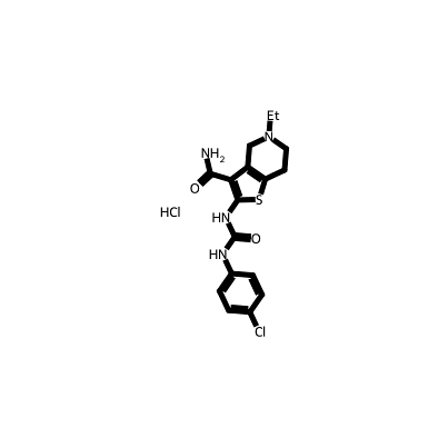 CCN1CCc2sc(NC(=O)Nc3ccc(Cl)cc3)c(C(N)=O)c2C1.Cl